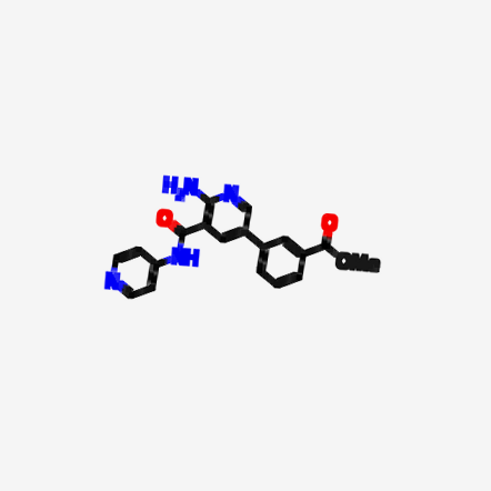 COC(=O)c1cccc(-c2cnc(N)c(C(=O)Nc3ccncc3)c2)c1